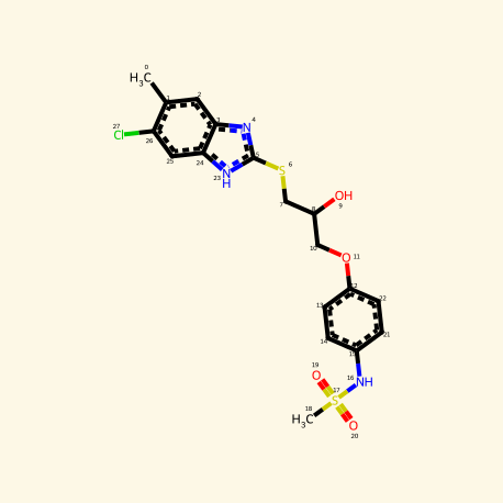 Cc1cc2nc(SCC(O)COc3ccc(NS(C)(=O)=O)cc3)[nH]c2cc1Cl